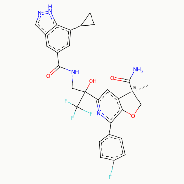 C[C@]1(C(N)=O)COc2c1cc(C(O)(CNC(=O)c1cc(C3CC3)c3[nH]ncc3c1)C(F)(F)F)nc2-c1ccc(F)cc1